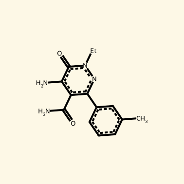 CCn1nc(-c2cccc(C)c2)c(C(N)=O)c(N)c1=O